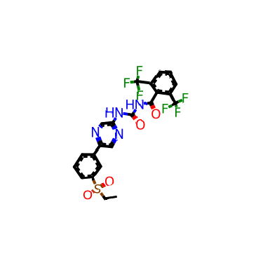 CCS(=O)(=O)c1cccc(-c2cnc(NC(=O)NC(=O)c3c(C(F)(F)F)cccc3C(F)(F)F)cn2)c1